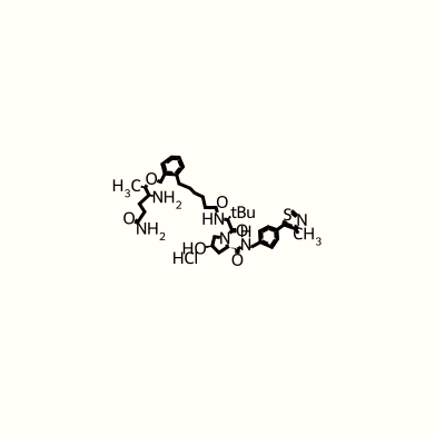 Cc1ncsc1-c1ccc(CNC(=O)[C@@H]2C[C@@H](O)CN2C(=O)[C@@H](NC(=O)CCCCCc2ccccc2CO[C@H](C)[C@@H](N)CCC(N)=O)C(C)(C)C)cc1.Cl